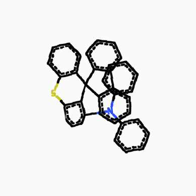 c1ccc(N(c2ccccc2)c2cccc3c2C2(c4ccccc4S3)c3ccccc3-c3ccccc32)cc1